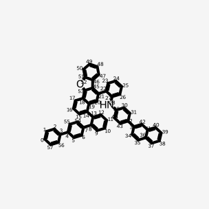 c1ccc(-c2ccc(-c3ccccc3-c3cccc4c3cc(-c3ccccc3Nc3ccc(-c5ccc6ccccc6c5)cc3)c3c5ccccc5oc43)cc2)cc1